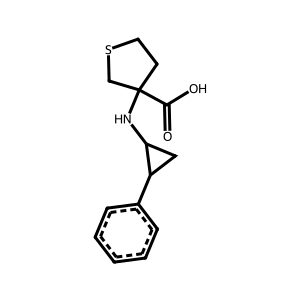 O=C(O)C1(NC2CC2c2ccccc2)CCSC1